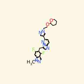 Cn1ncc2c(F)c(Cc3cnc4ccc(-c5cnn(CCOC6CCCCO6)c5)nn34)c(F)cc21